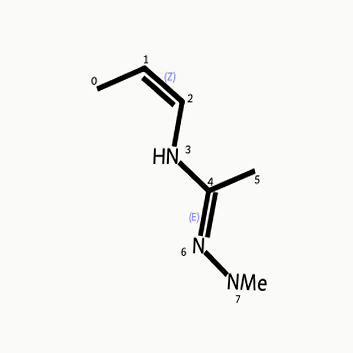 C/C=C\N/C(C)=N/NC